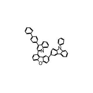 c1ccc(-c2ccc(-c3cc(-c4cccc5oc6ccc(-c7ccc8c(c7)c7ccccc7n8-c7ccccc7)cc6c45)nc4ccccc34)cc2)cc1